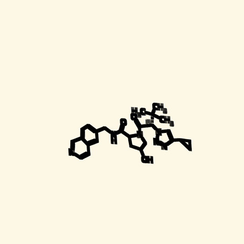 CC(C)(C)[C@@H](C(=O)N1CC(O)CC1C(=O)NCc1ccc2cnccc2c1)n1cc(C2CC2)nn1